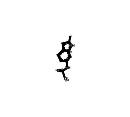 Cc1cc2ccc(NC(=O)C(F)(F)F)cc2[nH]1